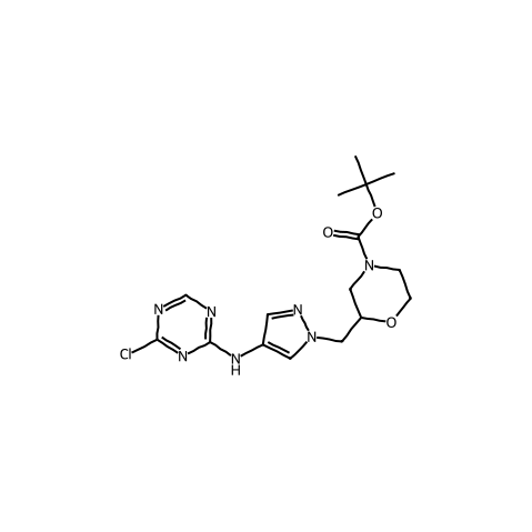 CC(C)(C)OC(=O)N1CCOC(Cn2cc(Nc3ncnc(Cl)n3)cn2)C1